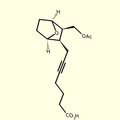 CC(=O)OC[C@H]1[C@@H](CC#CCCCC(=O)O)[C@H]2CC[C@@H]1O2